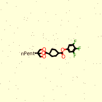 CCCCCC12COC(C3CCC(C(=O)Oc4cc(F)c(F)c(F)c4)CC3)(OC1)OC2